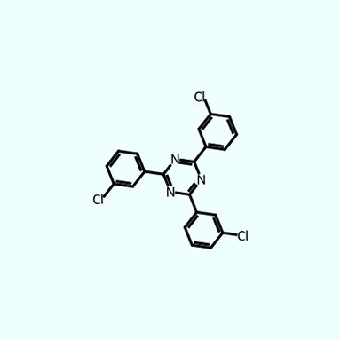 Clc1cccc(-c2nc(-c3cccc(Cl)c3)nc(-c3cccc(Cl)c3)n2)c1